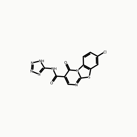 O=C(Nc1nnn[nH]1)c1cnc2sc3cc(Cl)ccc3n2c1=O